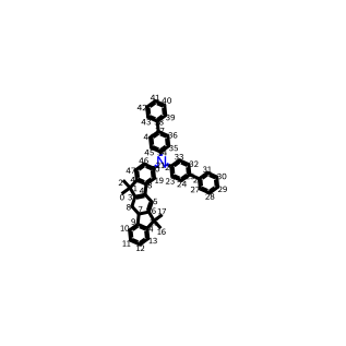 CC1(C)C2=C(C=C3C(C2)c2ccccc2C3(C)C)c2cc(N(c3ccc(-c4ccccc4)cc3)c3ccc(-c4ccccc4)cc3)ccc21